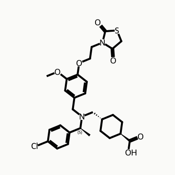 COc1cc(CN(C[C@H]2CC[C@H](C(=O)O)CC2)[C@@H](C)c2ccc(Cl)cc2)ccc1OCCN1C(=O)CSC1=O